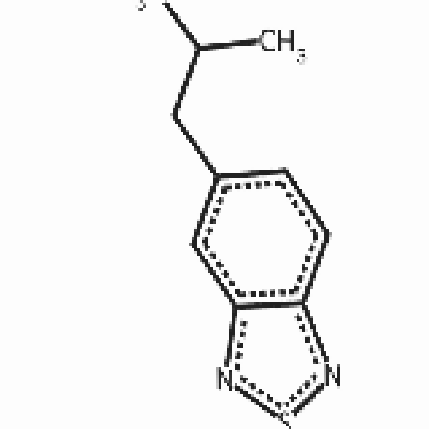 CC(C)Cc1ccc2nsnc2c1